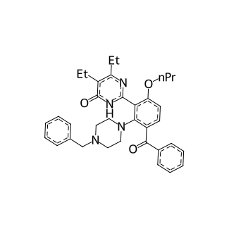 CCCOc1ccc(C(=O)c2ccccc2)c(N2CCN(Cc3ccccc3)CC2)c1-c1nc(CC)c(CC)c(=O)[nH]1